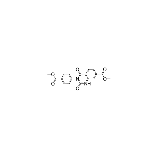 COC(=O)c1ccc(-n2c(=O)[nH]c3cc(C(=O)OC)ccc3c2=O)cc1